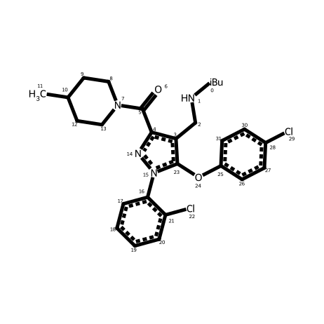 CCC(C)NCc1c(C(=O)N2CCC(C)CC2)nn(-c2ccccc2Cl)c1Oc1ccc(Cl)cc1